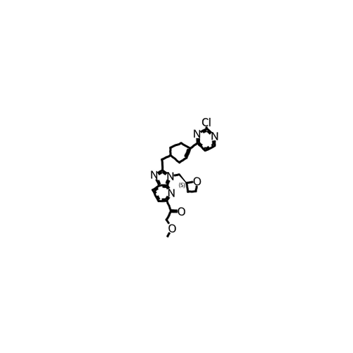 COCC(=O)c1ccc2nc(CC3CC=C(c4ccnc(Cl)n4)CC3)n(C[C@@H]3CCO3)c2n1